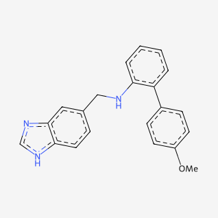 COc1ccc(-c2ccccc2NCc2ccc3[nH]cnc3c2)cc1